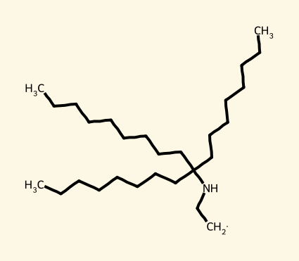 [CH2]CNC(CCCCCCCC)(CCCCCCCC)CCCCCCCCC